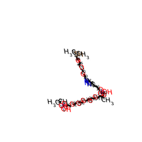 CC(C)OP(=O)(O)OCCOCCOCCOCCOCCOCCC(C)OP(=O)(O)OCCCCc1cn(CCOCCOCCOCC[SH](C)C)nn1